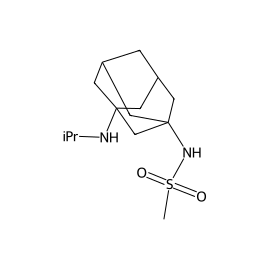 CC(C)NC12CC3CC(C1)CC(NS(C)(=O)=O)(C3)C2